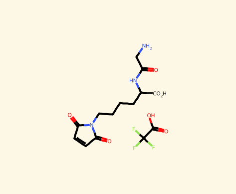 NCC(=O)NC(CCCCN1C(=O)C=CC1=O)C(=O)O.O=C(O)C(F)(F)F